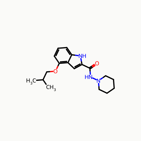 CC(C)COc1cccc2[nH]c(C(=O)NN3CCCCC3)cc12